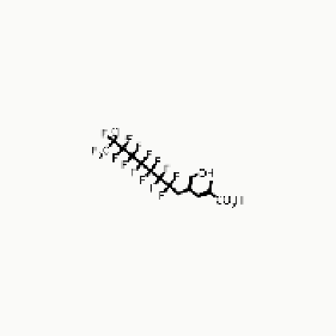 CC(=CC(CO)CC(F)(F)C(F)(F)C(F)(F)C(F)(F)C(F)(F)C(F)(F)C(F)(C(F)(F)F)C(F)(F)F)C(=O)O